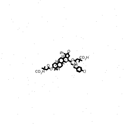 CC(C)C1=C2C(CC1=O)[C@@H]([C@H](CNCc1ccc(Cl)cc1)OC(=O)CC(C)(C)C(=O)O)C[C@]1(C)[C@@H]2CC[C@@H]2[C@@]3(C)CC[C@H](OC(=O)CC(C)(C)C(=O)O)C(C)(C)[C@@H]3CC[C@]21C